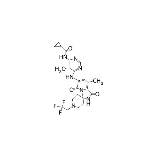 Cc1cc(Nc2ncnc(NC(=O)C3CC3)c2C)c(=O)n2c1C(=O)NC21CCN(CC(F)(F)F)CC1